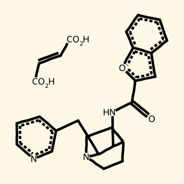 O=C(NC1C2CCN(CC2)C1Cc1cccnc1)c1cc2ccccc2o1.O=C(O)C=CC(=O)O